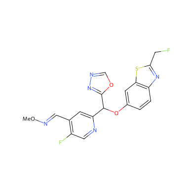 CO/N=C/c1cc(C(Oc2ccc3nc(CF)sc3c2)c2nnco2)ncc1F